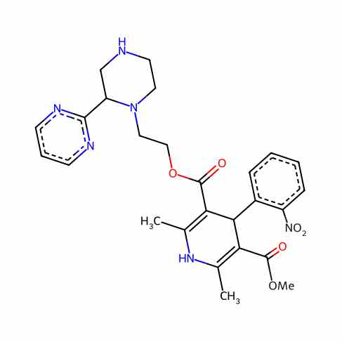 COC(=O)C1=C(C)NC(C)=C(C(=O)OCCN2CCNCC2c2ncccn2)C1c1ccccc1[N+](=O)[O-]